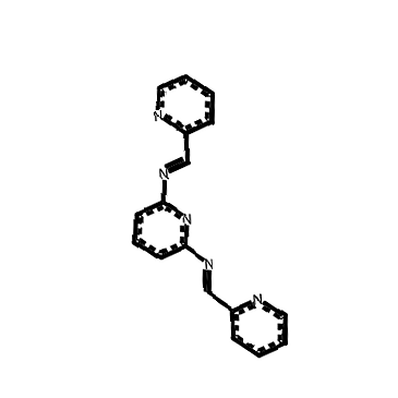 C(=N\c1cccc(/N=C/c2ccccn2)n1)/c1ccccn1